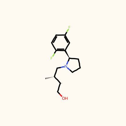 C[C@@H]([CH]CO)CN1CCC[C@@H]1c1cc(F)ccc1F